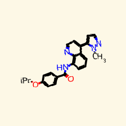 CC(C)Oc1ccc(C(=O)Nc2cccc3c(-c4ccnn4C)ccnc23)cc1